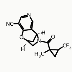 CC1(C(=O)N2C[C@@H]3C[C@H]2c2cncc(C#N)c2O3)CC1C(F)(F)F